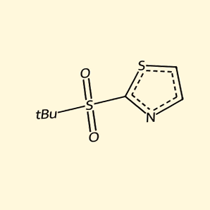 CC(C)(C)S(=O)(=O)c1nccs1